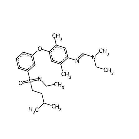 CCN=S(=O)(CCC(C)C)c1cccc(Oc2cc(C)c(N=CN(C)CC)cc2C)c1